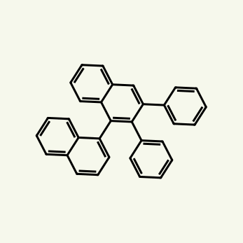 c1ccc(-c2cc3ccccc3c(-c3cccc4ccccc34)c2-c2ccccc2)cc1